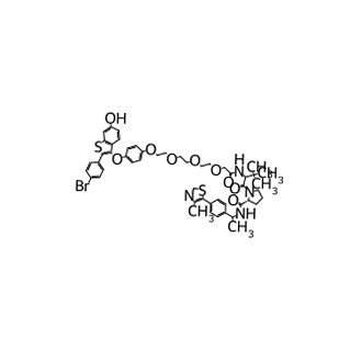 Cc1ncsc1-c1ccc([C@H](C)NC(=O)[C@@H]2CCCN2C(=O)C(NC(=O)COCCOCCOCCOc2ccc(Oc3c(-c4ccc(Br)cc4)sc4cc(O)ccc34)cc2)C(C)(C)C)cc1